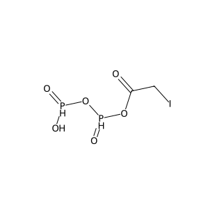 O=C(CI)O[PH](=O)O[PH](=O)O